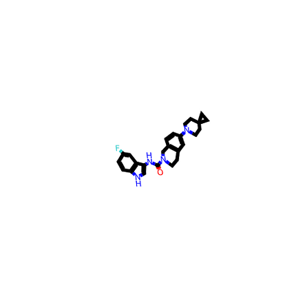 O=C(Nc1c[nH]c2ccc(F)cc12)N1CCc2cc(N3CCC4(CC3)CC4)ccc2C1